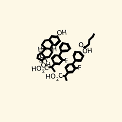 CC(C(=O)O)c1ccc(-c2ccccc2)c(F)c1.CC(C(=O)O)c1ccc(-c2ccccc2)c(F)c1.CCCCC(=O)O.C[C@]12CC[C@@H]3c4ccc(O)cc4CC[C@H]3[C@@H]1CC[C@@H]2O